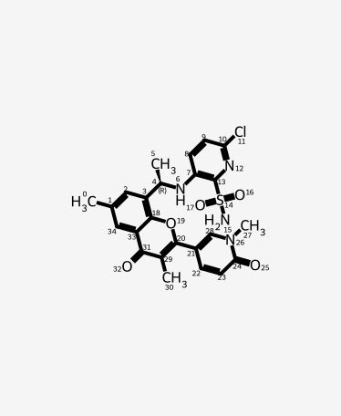 Cc1cc([C@@H](C)Nc2ccc(Cl)nc2S(N)(=O)=O)c2oc(-c3ccc(=O)n(C)c3)c(C)c(=O)c2c1